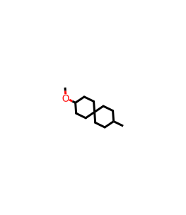 COC1CCC2(CCC(C)CC2)CC1